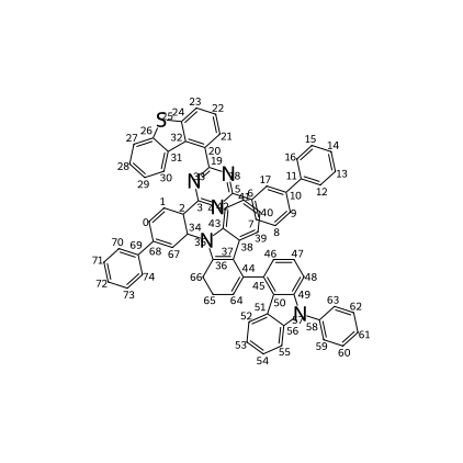 C1=CC(c2nc(-c3cccc(-c4ccccc4)c3)nc(-c3cccc4sc5ccccc5c34)n2)C(n2c3c(c4ccccc42)C(c2cccc4c2c2ccccc2n4-c2ccccc2)=CCC3)C=C1c1ccccc1